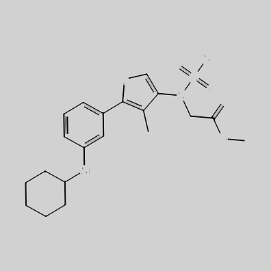 COC(=O)CN(c1csc(-c2cccc(NC3CCCCC3)c2)c1C)S(N)(=O)=O